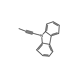 CC#Cn1c2ccccc2c2ccccc21